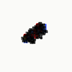 CC[C@H](C)C([C@@H](CC(=O)N1CCC[C@H]1[C@H](OC)[C@@H](C)C(=O)N[C@@H](Cc1ccccc1)c1nccs1)OC)N(C)C(=O)[C@@H](NC(=O)C(C(C)C)N(C)C(=O)[C@@H](NC)C(C)C)C(C)C